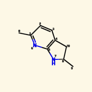 Cc1ccc2c(n1)NC(C)C2